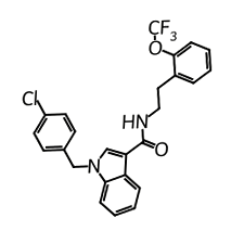 O=C(NCCc1ccccc1OC(F)(F)F)c1cn(Cc2ccc(Cl)cc2)c2ccccc12